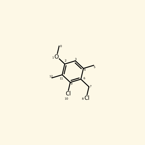 COc1cc(C)c(CCl)c(Cl)c1C